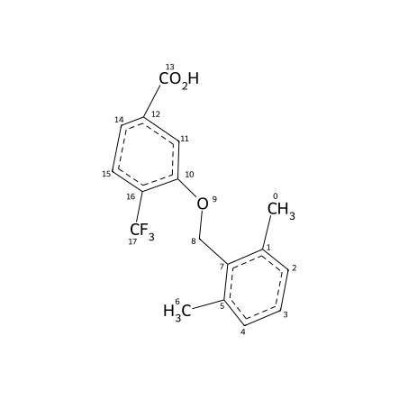 Cc1cccc(C)c1COc1cc(C(=O)O)ccc1C(F)(F)F